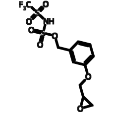 O=S(=O)(NS(=O)(=O)C(F)(F)F)OCc1cccc(OCC2CO2)c1